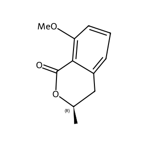 COc1cccc2c1C(=O)O[C@H](C)C2